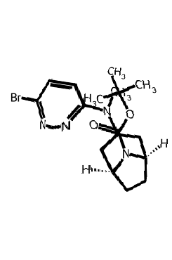 CN(c1ccc(Br)nn1)C1C[C@H]2CC[C@@H](C1)N2C(=O)OC(C)(C)C